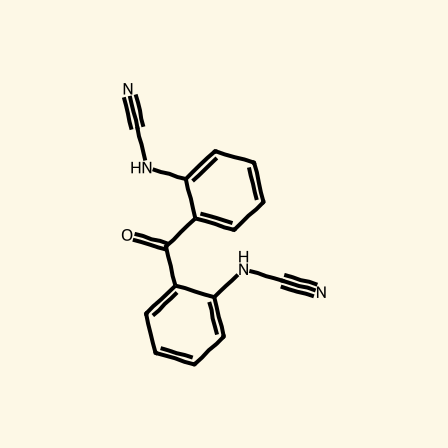 N#CNc1ccccc1C(=O)c1ccccc1NC#N